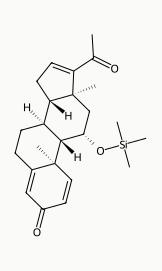 CC(=O)C1=CC[C@H]2[C@@H]3CCC4=CC(=O)C=C[C@]4(C)[C@H]3[C@@H](O[Si](C)(C)C)C[C@]12C